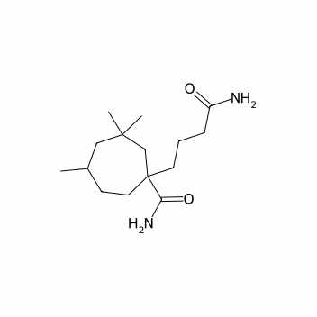 CC1CCC(CCCC(N)=O)(C(N)=O)CC(C)(C)C1